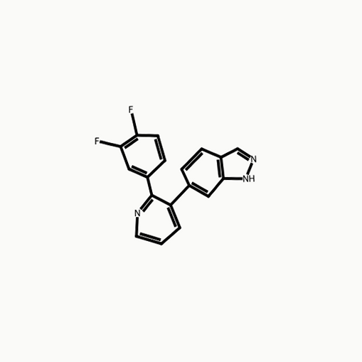 Fc1ccc(-c2ncccc2-c2ccc3cn[nH]c3c2)cc1F